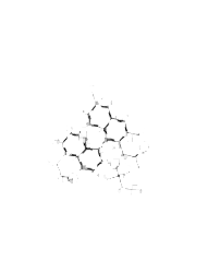 CC(=O)[C@@H](OC(C)(C)CF)c1c(C)cc2cc(C)ccc2c1-c1ccc2c3c(ccnc13)CCO2